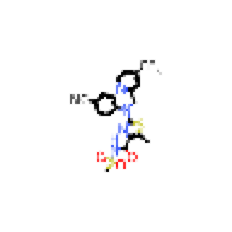 Cc1sc(N(Cc2cc(C(F)(F)F)ccn2)c2ccc(C#N)cc2)nc1C(=O)NS(C)(=O)=O